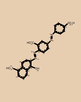 O=C(O)c1cc(/N=N/c2ccc(S(=O)(=O)O)cc2)ccc1/N=N/c1ccc2c(S(=O)(=O)O)cccc2c1O